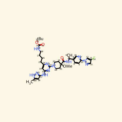 COC1(C(=O)N[C@@H](C)c2ccc(-n3cc(F)cn3)nc2)CCN(c2nc(CCCCNC(=O)OC(C)(C)C)cc(Nc3cc(C)[nH]n3)n2)CC1